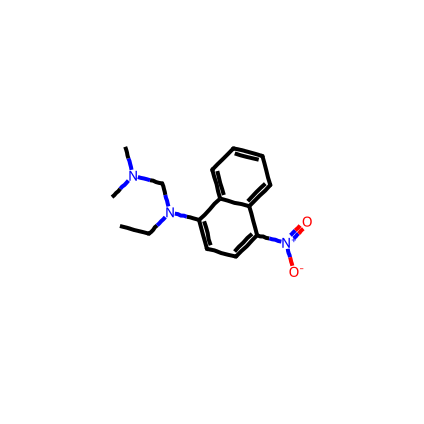 CCN(CN(C)C)c1ccc([N+](=O)[O-])c2ccccc12